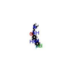 CCN(CC)CCCNC(=O)c1ccc(-c2nc3cc(Cl)c(F)cc3[nH]2)c(C)c1